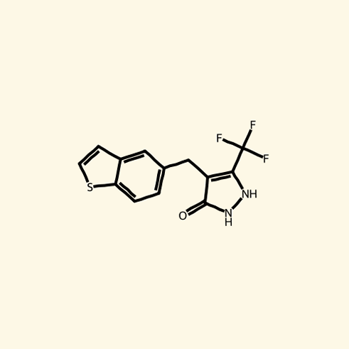 O=c1[nH][nH]c(C(F)(F)F)c1Cc1ccc2sccc2c1